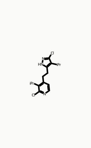 CC(C)c1c(CCc2[nH]nc(Cl)c2C(C)C)ccnc1Cl